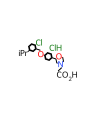 CC(C)c1ccc(Cl)c(COc2ccc(C3CN(CCC(=O)O)CCO3)cc2)c1.Cl